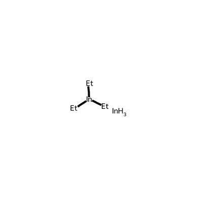 C[CH2][In]([CH2]C)[CH2]C.[InH3]